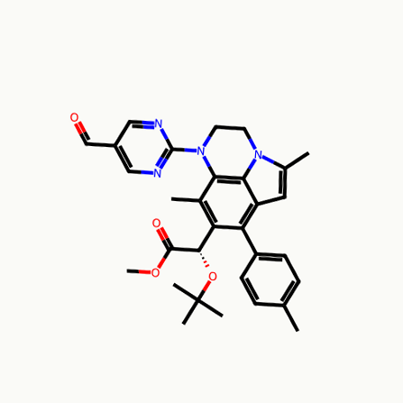 COC(=O)[C@@H](OC(C)(C)C)c1c(C)c2c3c(cc(C)n3CCN2c2ncc(C=O)cn2)c1-c1ccc(C)cc1